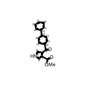 COC(=O)c1c[nH]cc1C(=O)c1ccc(-c2ccccc2)cc1